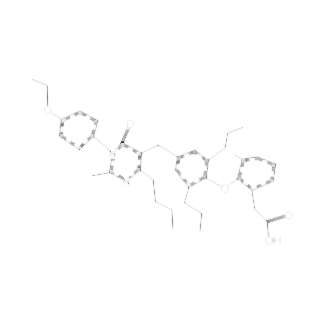 CCCCc1nc(C)n(-c2ccc(OCC)cc2)c(=O)c1Cc1cc(CCC)c(Oc2c(C)cccc2CC(=O)O)c(CCC)c1